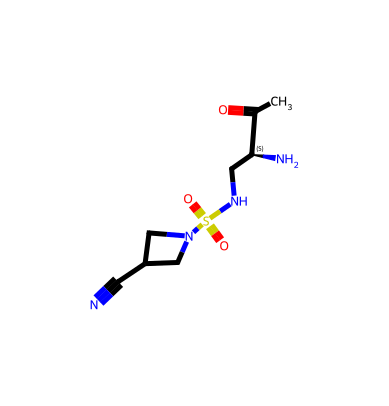 CC(=O)[C@@H](N)CNS(=O)(=O)N1CC(C#N)C1